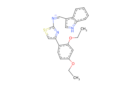 CCOc1ccc(-c2csc(/N=C\c3c[nH]c4ccccc34)n2)c(OCC)c1